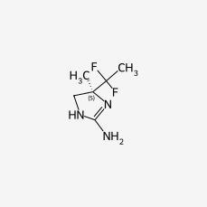 CC(F)(F)[C@]1(C)CNC(N)=N1